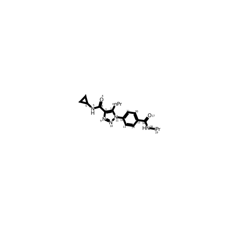 CCCc1c(C(=O)NC2CC2)nnn1-c1ccc(C(=O)NC(C)C)cc1